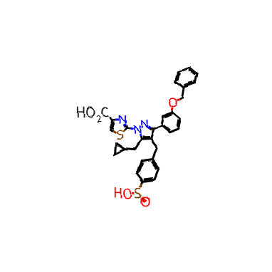 O=C(O)c1csc(-n2nc(-c3cccc(OCc4ccccc4)c3)c(Cc3ccc(S(=O)O)cc3)c2CC2CC2)n1